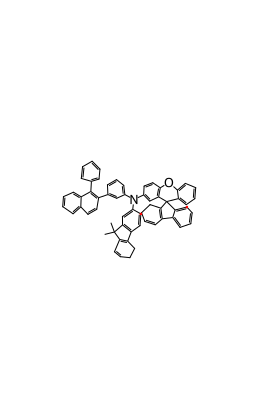 CC1(C)C2=C(CCC=C2)c2ccc(N(c3cccc(-c4ccc5ccccc5c4-c4ccccc4)c3)c3ccc4c(c3)C3(C5=C(C=CCC5)c5ccccc53)c3ccccc3O4)cc21